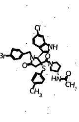 CC(=O)N[C@H]1CCN(C(=O)[C@]2(Sc3ccc(C)cc3)CC(=O)N(Cc3ccc(Br)cc3)[C@H]2c2c[nH]c3cc(Cl)ccc23)C1